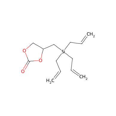 C=CC[Si](CC=C)(CC=C)CC1COC(=O)O1